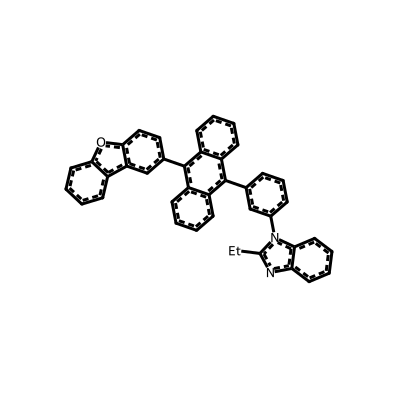 CCc1nc2ccccc2n1-c1cccc(-c2c3ccccc3c(-c3ccc4oc5ccccc5c4c3)c3ccccc23)c1